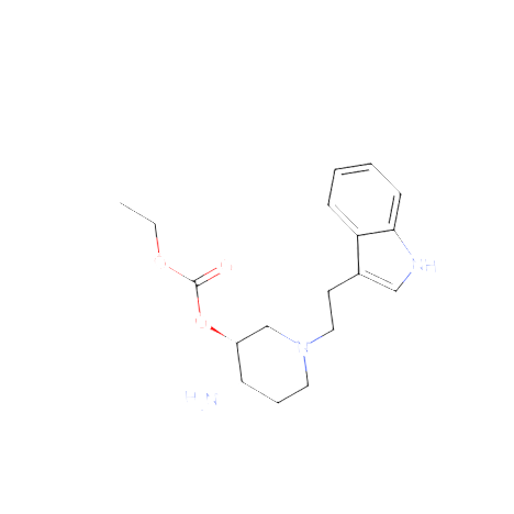 CCOC(=O)O[C@H]1CN(CCc2c[nH]c3ccccc23)CC[C@@H]1N